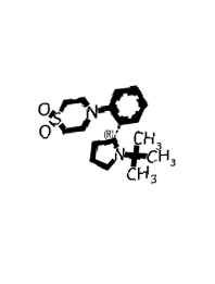 CC(C)(C)N1CCC[C@@H]1c1ccccc1N1CCS(=O)(=O)CC1